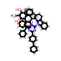 Bc1c(B)c(-c2cc(-c3ccccc3)ccc2C2C3=C(CCc4c3n(C3=NC(c5ccc(-c6ccccc6)cc5)=NC(c5ccccc5)N3)c3ccccc43)c3ccccc32)c(O)c(B)c1O